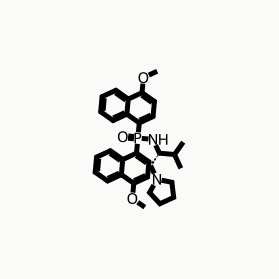 COc1ccc(P(=O)(N[C@@H](CN2CCCC2)C(C)C)c2ccc(OC)c3ccccc23)c2ccccc12